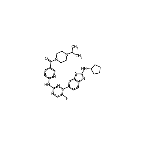 CC(C)N1CCN(C(=O)c2ccc(Nc3ncc(F)c(-c4ccc5nc(NC6CCCC6)sc5c4)n3)nc2)CC1